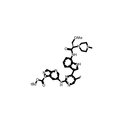 COC[C@H](C(=O)Nc1cccc2c(-c3nc(Nc4cnc5cnn(C(=O)OC(C)(C)C)c5c4)ncc3F)c[nH]c12)N1CCN(C)CC1